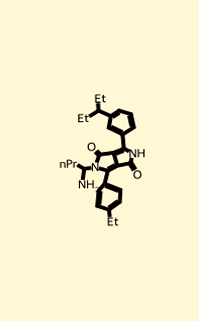 CCCC(N)N1C(=O)C2=C(c3cccc(C(CC)CC)c3)NC(=O)C2=C1c1ccc(CC)cc1